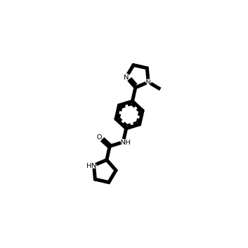 CN1CCN=C1c1ccc(NC(=O)C2CCCN2)cc1